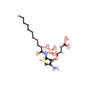 CCCCCCCCCCC(=O)N(c1scc(N)c1OCCCC(=O)O)P(=O)(O)O